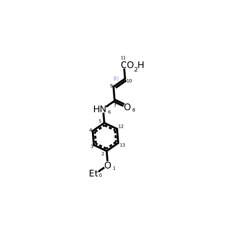 CCOc1ccc(NC(=O)/C=C/C(=O)O)cc1